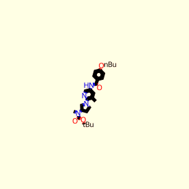 CCCCOc1ccc(C(=O)Nc2cnc(N3CCC(N(C)C(=O)OC(C)(C)C)C3)c(C)c2)cc1